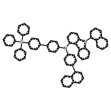 c1ccc([Si](c2ccccc2)(c2ccccc2)c2ccc(-c3ccc(N(c4ccc(-c5cccc6ccccc56)cc4)c4cccc5c4c4ccccc4n5-c4cccc5ccccc45)cc3)cc2)cc1